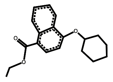 CCOC(=O)c1ccc(OC2CCCCC2)c2ccccc12